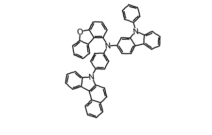 c1ccc(-n2c3ccccc3c3ccc(N(c4ccc(-n5c6ccccc6c6c7ccccc7ccc65)cc4)c4cccc5oc6ccccc6c45)cc32)cc1